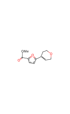 COC(=O)c1ccc(C2=CCOCC2)o1